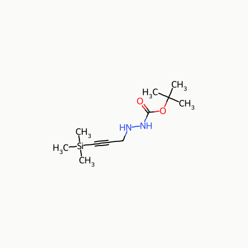 CC(C)(C)OC(=O)NNCC#C[Si](C)(C)C